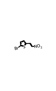 O=[N+]([O-])/C=C/c1ccc(Br)s1